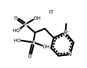 C[n+]1cnccc1CC(P(=O)(O)O)P(=O)(O)O.[Cl-]